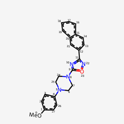 COc1ccc(N2CCN(c3nc(-c4ccc5ccccc5c4)no3)CC2)cc1